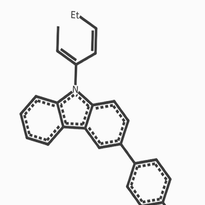 C/C=C(\C=C/CC)n1c2ccccc2c2cc(-c3ccc(Br)cc3)ccc21